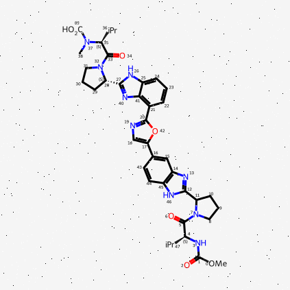 COC(=O)N[C@H](C(=O)N1CCCC1c1nc2cc(-c3cnc(-c4cccc5[nH]c([C@@H]6CCCN6C(=O)[C@H](C(C)C)N(C)C(=O)O)nc45)o3)ccc2[nH]1)C(C)C